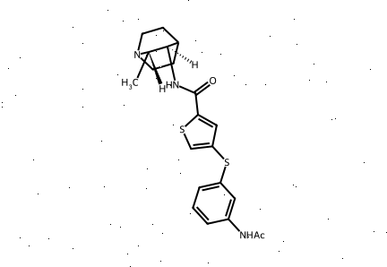 CC(=O)Nc1cccc(Sc2csc(C(=O)N[C@@H]3C4CCN(CC4)[C@H]3C)c2)c1